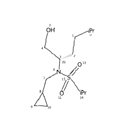 CC(C)CC[C@@H](CO)N(CC1CC1)S(=O)(=O)C(C)C